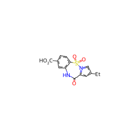 CCc1cc2n(c1)S(=O)(=O)c1ccc(C(=O)O)cc1NC2=O